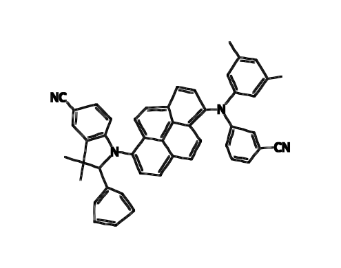 Cc1cc(C)cc(N(c2cccc(C#N)c2)c2ccc3ccc4c(N5c6ccc(C#N)cc6C(C)(C)C5c5ccccc5)ccc5ccc2c3c54)c1